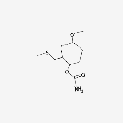 COC1CCC(OC(N)=O)C(CSC)C1